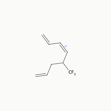 C=C/C=C\C(CC=C)C(F)(F)F